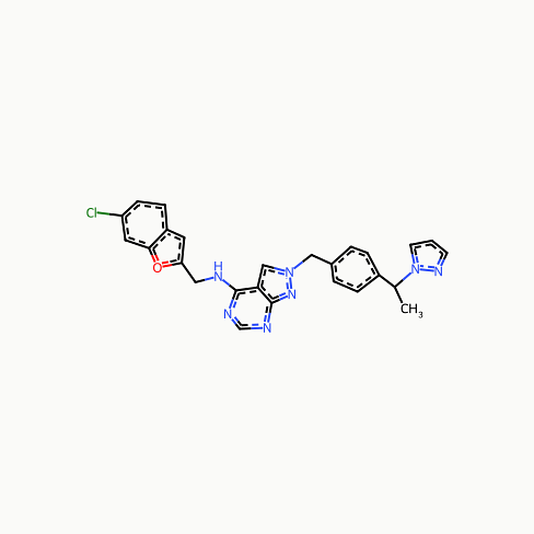 CC(c1ccc(Cn2cc3c(NCc4cc5ccc(Cl)cc5o4)ncnc3n2)cc1)n1cccn1